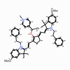 COc1ccc2c(c1)C(C)(C)C(/C=C/C1=C(OC(c3cc[n+](C)cc3)C(C)C)C(=C/C=C3/N(CCc4ccccc4)c4ccc(OC)cc4C3(C)C)/CC1)=[N+]2CCc1ccccc1